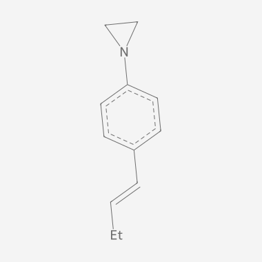 CCC=Cc1ccc(N2CC2)cc1